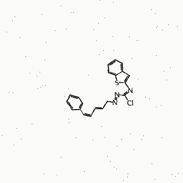 ClC(/N=N/C/C=C/C=C\c1ccccc1)=N/c1cc2ccccc2s1